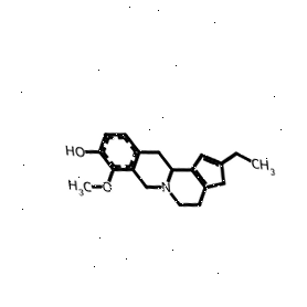 CCC1=CC2=C(CCN3Cc4c(ccc(O)c4OC)CC23)C1